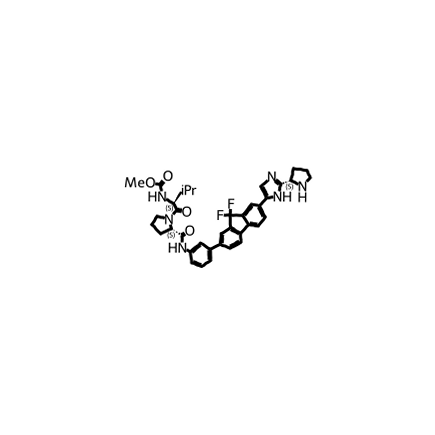 COC(=O)N[C@H](C(=O)N1CCC[C@H]1C(=O)Nc1cccc(-c2ccc3c(c2)C(F)(F)c2cc(-c4cnc([C@@H]5CCCN5)[nH]4)ccc2-3)c1)C(C)C